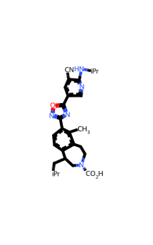 Cc1c(-c2noc(-c3cnc(NC(C)C)c(C#N)c3)n2)ccc2c1CCN(C(=O)O)CC2CC(C)C